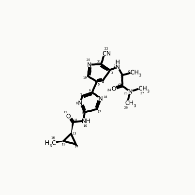 CC(Nc1cc(-c2cnc(NC(=O)[C@H]3C[C@H]3C)cn2)cnc1C#N)C(=O)N(C)C